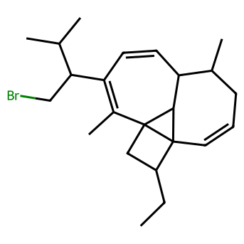 CCC1CC23C(C)=C(C(CBr)C(C)C)C=CC4C(C)CC=CC12C43